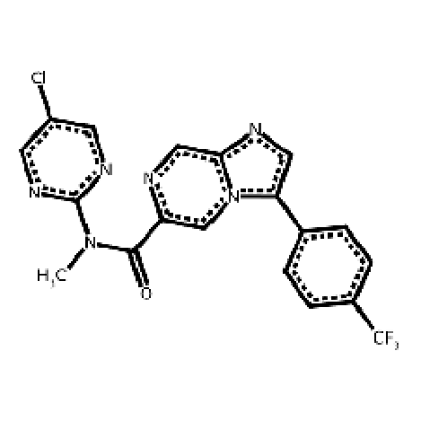 CN(C(=O)c1cn2c(-c3ccc(C(F)(F)F)cc3)cnc2cn1)c1ncc(Cl)cn1